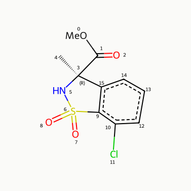 COC(=O)[C@]1(C)NS(=O)(=O)c2c(Cl)cccc21